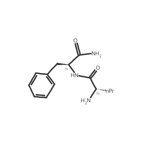 CCC[C@H](N)C(=O)N[C@@H](Cc1ccccc1)C(N)=O